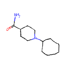 NC(=O)C1CCN(C2CCCCC2)CC1